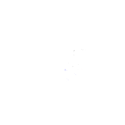 COC[C@H]1C[C@H]2C(=O)N(C)C(N)N[C@@]2(c2ccc(F)cc2F)CO1